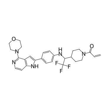 C=CC(=O)N1CCC(C(Nc2ccc(-c3cc4c(N5CCOCC5)nccc4[nH]3)cc2)C(F)(F)F)CC1